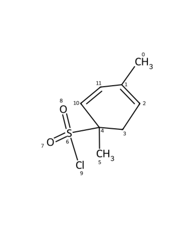 CC1=CCC(C)(S(=O)(=O)Cl)C=C1